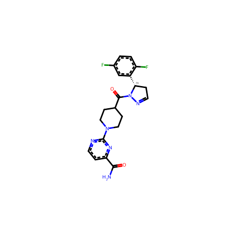 NC(=O)c1ccnc(N2CCC(C(=O)N3N=CC[C@H]3c3cc(F)ccc3F)CC2)n1